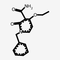 CCOc1ccn(Cc2ccccc2)c(=O)c1C(N)=O